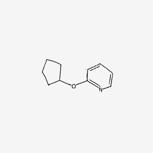 [c]1cccnc1OC1CCCC1